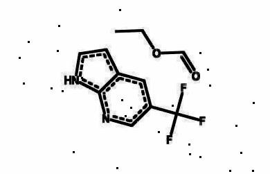 CCOC=O.FC(F)(F)c1cnc2[nH]ccc2c1